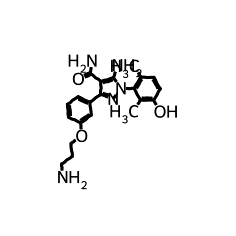 Cc1ccc(O)c(C)c1-n1nc(-c2cccc(OCCCN)c2)c(C(N)=O)c1N